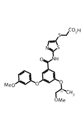 COC[C@H](C)Oc1cc(Oc2cccc(OC)c2)cc(C(=O)Nc2ncc(SCC(=O)O)s2)c1